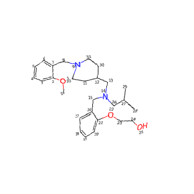 COc1ccccc1CN1CCC(CN(Cc2ccccc2OCCO)CC(C)C)CC1